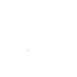 Cc1ccc(F)cc1-c1n[nH]c(=O)o1